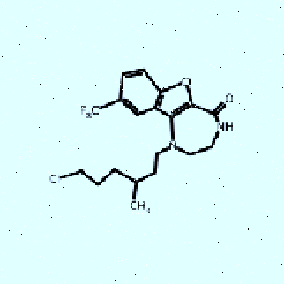 CC(CCCCl)CCN1CCNC(=O)c2oc3ccc(C(F)(F)F)cc3c21